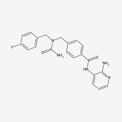 NC(=O)N(Cc1ccc(F)cc1)Cc1ccc(C(=O)Nc2cccnc2N)cc1